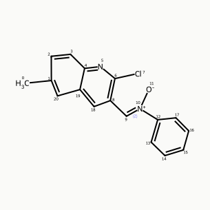 Cc1ccc2nc(Cl)c(/C=[N+](\[O-])c3ccccc3)cc2c1